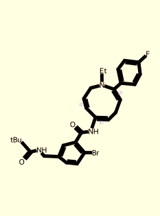 CCN1C/C=C\C(NC(=O)c2cc(CNC(=O)C(C)(C)C)ccc2Br)=C/C/C=C\1c1ccc(F)cc1